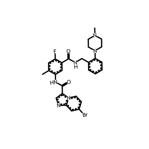 Cc1cc(F)c(C(=O)NCc2ccccc2N2CCN(C)CC2)cc1NC(=O)c1cnc2cc(Br)ccn12